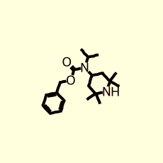 CC(C)N(C(=O)OCc1ccccc1)C1CC(C)(C)NC(C)(C)C1